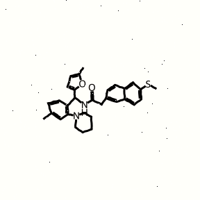 CSc1ccc2cc(CC(=O)NC(c3ccc(C)o3)c3ccc(C)cc3N3CCCCC3)ccc2c1